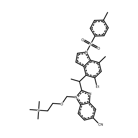 CCc1cc(C)c2c(ccn2S(=O)(=O)c2ccc(C)cc2)c1C(C)c1nc2cc(C#N)ccc2n1COCC[Si](C)(C)C